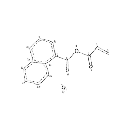 C=CC(=O)OC(=O)c1cccc2ccccc12.[Zn]